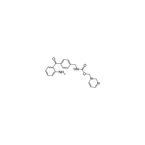 Nc1ccccc1C(=O)c1ccc(CNC(=O)OCN2C=CC=NC2)cc1